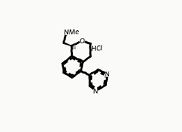 CNC[C@H]1OCCc2c(-c3cncnc3)cccc21.Cl